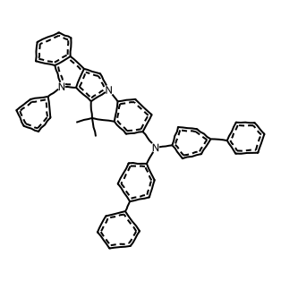 CC1(C)c2cc(N(c3ccc(-c4ccccc4)cc3)c3ccc(-c4ccccc4)cc3)ccc2-n2cc3c4ccccc4n(-c4ccccc4)c3c21